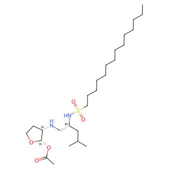 CCCCCCCCCCCCCCS(=O)(=O)N[C@@H](CN[C@H]1CCO[C@H]1OC(C)=O)CC(C)C